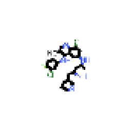 CC(CC(=N)Cc1cccnc1)Nc1cc(Cl)c2ncc(C#N)c(Nc3ccc(F)c(Cl)c3)c2c1